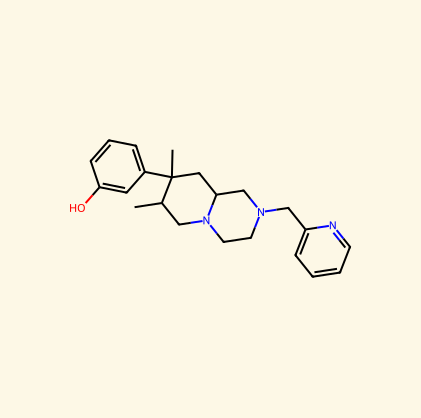 CC1CN2CCN(Cc3ccccn3)CC2CC1(C)c1cccc(O)c1